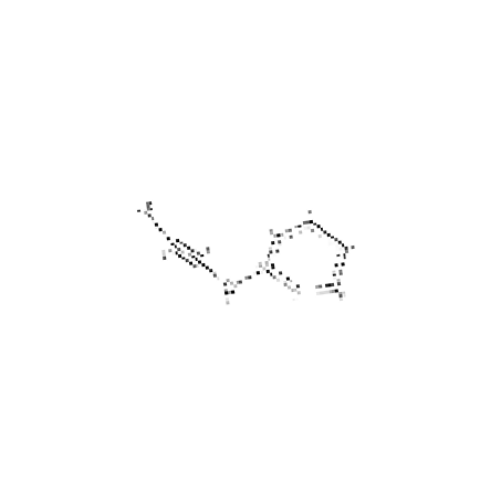 [CH2]C#COc1ccccc1